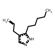 C=CCc1[c]n[nH]c1CCCCC